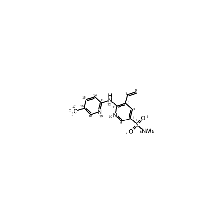 C=Cc1cc(S(=O)(=O)NC)cnc1Nc1ccc(C(F)(F)F)cn1